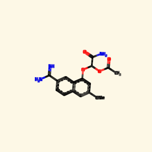 COc1cc(OC(OC(=O)C(F)(F)F)C(N)=O)c2cc(C(=N)N)ccc2c1